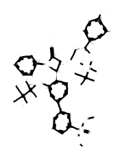 COP(=O)(OC)c1cccc(-c2ccc([C@@H]3[C@@H](CC[C@H](O[Si](C)(C)C(C)(C)C)c4ccc(F)cc4)C(=O)N3c3ccccc3)c(OC(C)(C)C(C)(C)C)c2)c1